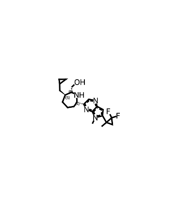 Cn1c(C2(C)CC2(F)F)cc2ncc([C@@H]3CCC[C@@H](CC4CC4)[C@H](CO)N3)nc21